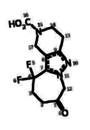 O=C1CCC(F)(F)c2c3c(nn2C1)CCN(C(=O)O)C3